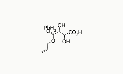 C=CCOC(=O)C(O)C(O)C(=O)O.[PbH2]